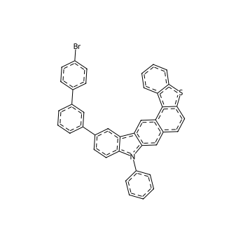 Brc1ccc(-c2cccc(-c3ccc4c(c3)c3cc5c(ccc6sc7ccccc7c65)cc3n4-c3ccccc3)c2)cc1